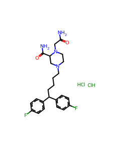 Cl.Cl.NC(=O)CN1CCN(CCCCC(c2ccc(F)cc2)c2ccc(F)cc2)CC1C(N)=O